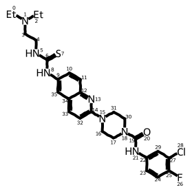 CCN(CC)CCNC(=S)Nc1ccc2nc(N3CCN(C(=O)Nc4ccc(F)c(Cl)c4)CC3)ccc2c1